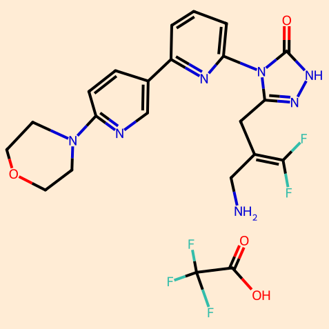 NCC(Cc1n[nH]c(=O)n1-c1cccc(-c2ccc(N3CCOCC3)nc2)n1)=C(F)F.O=C(O)C(F)(F)F